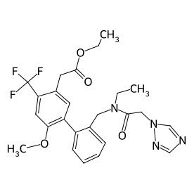 CCOC(=O)Cc1cc(-c2ccccc2CN(CC)C(=O)Cn2cncn2)c(OC)cc1C(F)(F)F